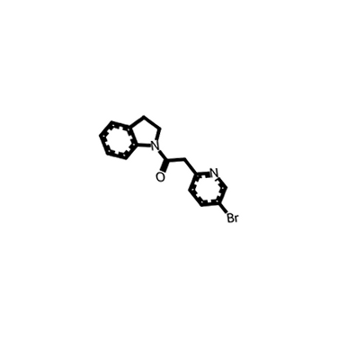 O=C(Cc1ccc(Br)cn1)N1CCc2ccccc21